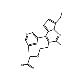 CCc1ccc2c(-c3cncc(C)c3)c(CCOCC(=O)O)c(C)nn12